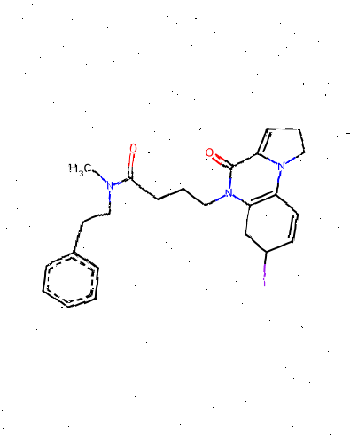 CN(CCc1ccccc1)C(=O)CCCN1C(=O)C2=CCCN2C2=C1CC(I)C=C2